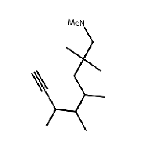 C#CC(C)C(C)C(C)CC(C)(C)CNC